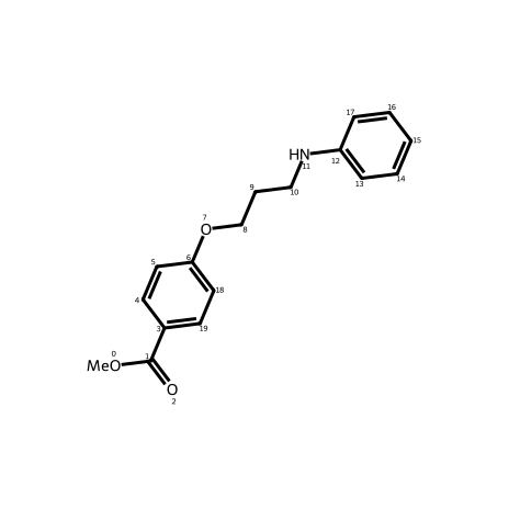 COC(=O)c1ccc(OCCCNc2ccccc2)cc1